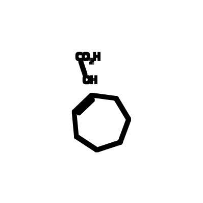 C1=CCCCCC1.O=C(O)O